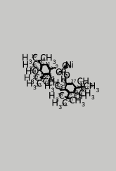 CCc1c(CO[PH](=O)OCc2cc(C(C)(C)C)c(O)c(C(C)(C)C)c2CC)cc(C(C)(C)C)c(O)c1C(C)(C)C.[Ni]